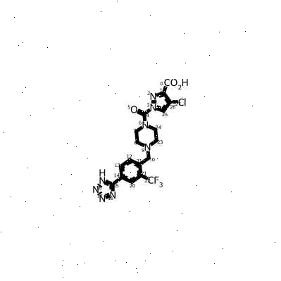 O=C(O)c1nn(C(=O)N2CCN(Cc3ccc(-c4nnn[nH]4)cc3C(F)(F)F)CC2)cc1Cl